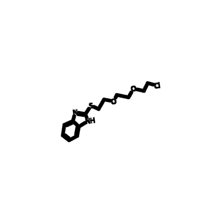 ClCCOCCOCCSc1nc2ccccc2[nH]1